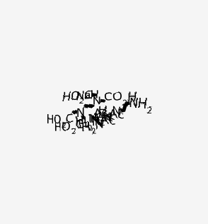 CC(N)=O.CC(N)=O.CC(N)=O.CC(N)=O.NCCN.O=C(O)CN(CCN(CC(=O)O)CC(=O)O)CC(=O)O.[NaH]